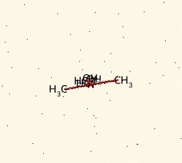 CCCCCCCCCCCCCCCCCCN(CCCCCCCCCCCCCCCCCC)C(=O)C(O)C(O)C(O)O